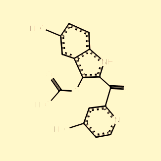 CC(=O)Oc1c(C(=O)c2cc(C)ccn2)[nH]c2ccc(C)cc12